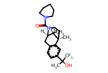 CC(O)(c1ccc2c(c1)[C@]1(C)CCN(C(=O)N3CCCCC3)[C@H](C2)C1(C)C)C(F)(F)F